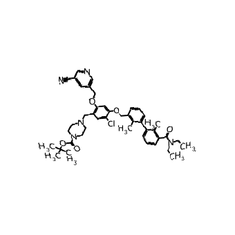 CCN(CC)C(=O)c1cccc(-c2cccc(COc3cc(OCc4cncc(C#N)c4)c(CN4CCN(C(=O)OC(C)(C)C)CC4)cc3Cl)c2C)c1C